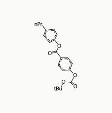 CCCc1ccc(OC(=O)c2ccc(OC(=O)OC(C)(C)C)cc2)cc1